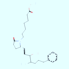 COC(=O)CCCCCCN1C(=O)CC[C@@H]1C=CC(O)C(C)CCCc1ccccc1